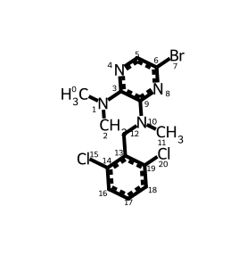 CN(C)c1ncc(Br)nc1N(C)Cc1c(Cl)cccc1Cl